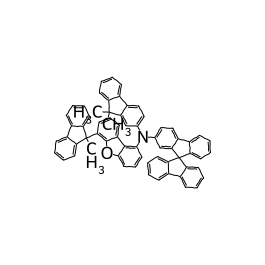 CC1(C)c2ccccc2-c2ccc(N(c3ccc4c(c3)C3(c5ccccc5-c5ccccc53)c3ccccc3-4)c3cccc4oc5c(C6(C)c7ccccc7-c7ccccc76)cccc5c34)cc21